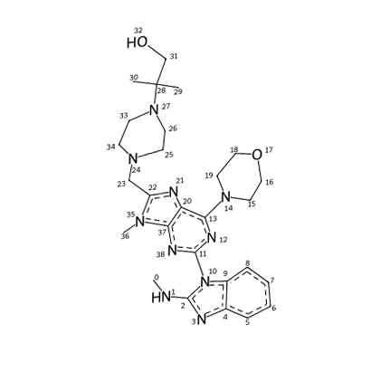 CNc1nc2ccccc2n1-c1nc(N2CCOCC2)c2nc(CN3CCN(C(C)(C)CO)CC3)n(C)c2n1